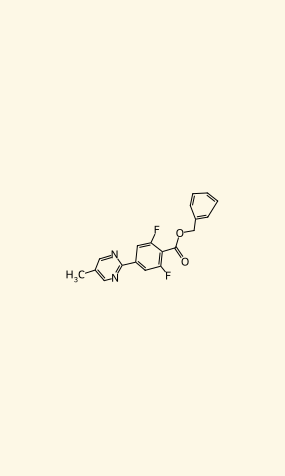 Cc1cnc(-c2cc(F)c(C(=O)OCc3ccccc3)c(F)c2)nc1